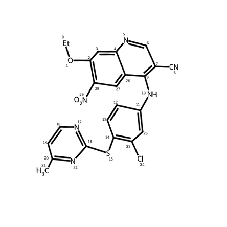 CCOc1cc2ncc(C#N)c(Nc3ccc(Sc4nccc(C)n4)c(Cl)c3)c2cc1[N+](=O)[O-]